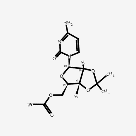 CC(C)C(=O)OC[C@H]1O[C@@H](n2ccc(N)nc2=O)[C@@H]2OC(C)(C)O[C@@H]21